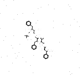 CC(C)[C@H](NC(Cc1ccccc1)C(O)CNCC(O)C(Cc1ccccc1)NC(=O)OC(C)(C)C)C(=O)NC(=O)CC(N)c1ccccc1